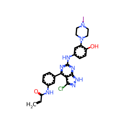 C=CC(=O)Nc1cccc(-c2nc(Nc3ccc(O)c(N4CCN(I)CC4)c3)nc3[nH]nc(Cl)c23)c1